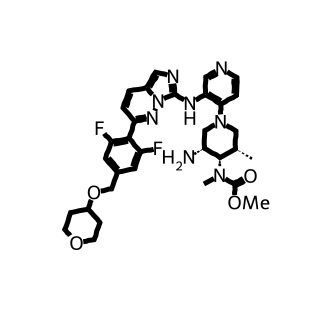 COC(=O)N(C)[C@@H]1[C@H](N)CN(c2ccncc2Nc2ncc3ccc(-c4c(F)cc(COC5CCOCC5)cc4F)nn23)C[C@@H]1C